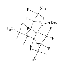 CCCCCCCCCC[O][Sn]([C](F)(F)C(F)(F)C(F)(F)C(F)(F)F)([C](F)(F)C(F)(F)C(F)(F)C(F)(F)F)[C](F)(F)C(F)(F)C(F)(F)C(F)(F)F